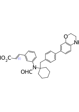 O=CN(c1cccc(/C=C/C(=O)O)c1)C1(Cc2ccc(-c3ccc4c(c3)OCCN4)cc2)CCCCC1